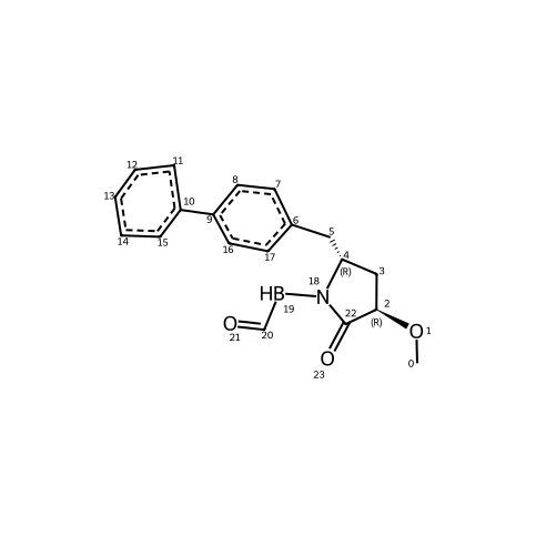 CO[C@@H]1C[C@@H](Cc2ccc(-c3ccccc3)cc2)N(BC=O)C1=O